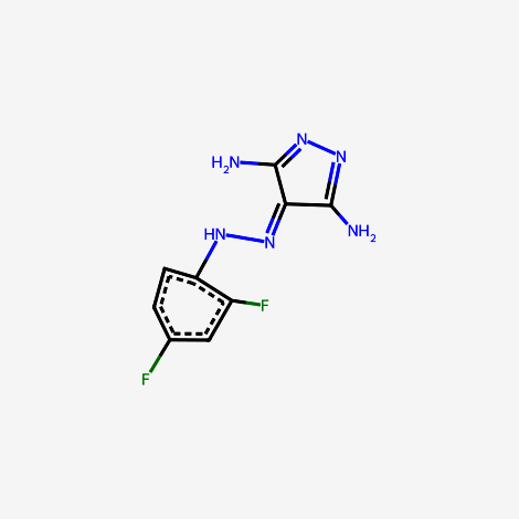 NC1=NN=C(N)C1=NNc1ccc(F)cc1F